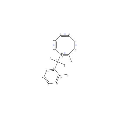 CC1=[N+](C(C)(C)c2ccccc2C)/C=C\C=C/C=C\1